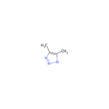 CC1=C(C)N=N[N]1